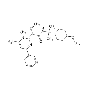 C=N/C(C(=O)NC(C)(C)[C@H]1CC[C@H](OC)CC1)=C1/N=C(c2cccnc2)C=C(C)N1C